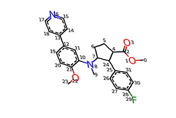 COC(=O)C1CCC(N(C)c2cc(-c3ccncc3)ccc2OC)C1c1ccc(F)cc1